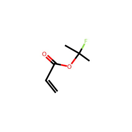 C=CC(=O)OC(C)(C)F